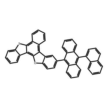 c1ccc2c(-c3c4ccccc4c(-c4ccc5oc6c(c5c4)c4ccccc4c4sc5ccccc5c64)c4ccccc34)cccc2c1